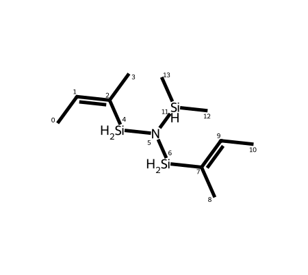 CC=C(C)[SiH2]N([SiH2]C(C)=CC)[SiH](C)C